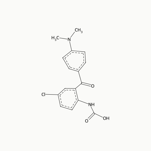 CN(C)c1ccc(C(=O)c2cc(Cl)ccc2NC(=O)O)cc1